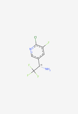 N[C@@H](c1cnc(Cl)c(F)c1)C(F)(F)F